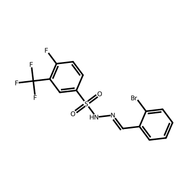 O=S(=O)(N/N=C/c1ccccc1Br)c1ccc(F)c(C(F)(F)F)c1